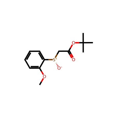 COc1ccccc1[S@@+]([O-])CC(=O)OC(C)(C)C